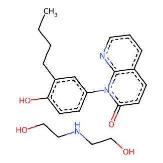 CCCCc1cc(-n2c(=O)ccc3cccnc32)ccc1O.OCCNCCO